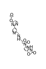 O=C1COc2ccc(N3CC(CCNCc4cc(-c5nccc(OC6COC6)n5)ccn4)OC3=O)nc2N1